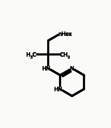 CCCCCCCC(C)(C)NC1=NCCCN1